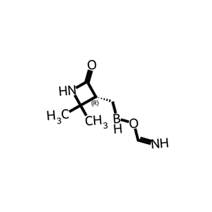 CC1(C)NC(=O)[C@@H]1CBOC=N